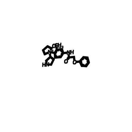 Cc1cc(NC(=O)COc2ccccc2)ccc1[N+]1(C2CCNC2)CCCC1C